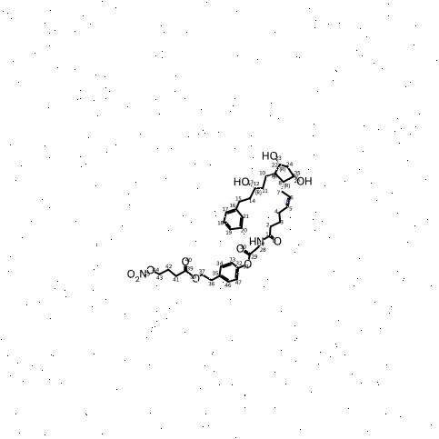 O=C(CCC/C=C\C[C@@H]1[C@@H](CC[C@@H](O)CCc2ccccc2)[C@H](O)C[C@@H]1O)NCC(=O)Oc1ccc(CCOC(=O)CCCO[N+](=O)[O-])cc1